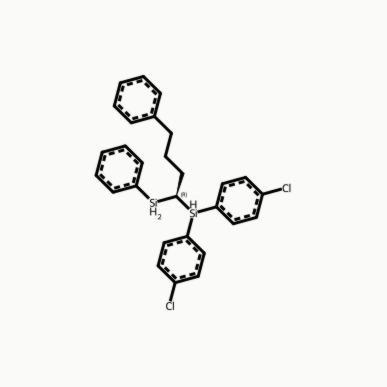 Clc1ccc([SiH](c2ccc(Cl)cc2)[C@H](CCCc2ccccc2)[SiH2]c2ccccc2)cc1